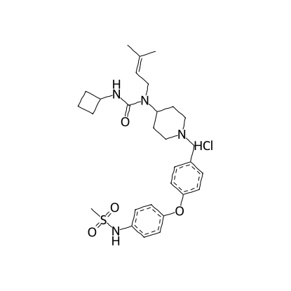 CC(C)=CCN(C(=O)NC1CCC1)C1CCN(Cc2ccc(Oc3ccc(NS(C)(=O)=O)cc3)cc2)CC1.Cl